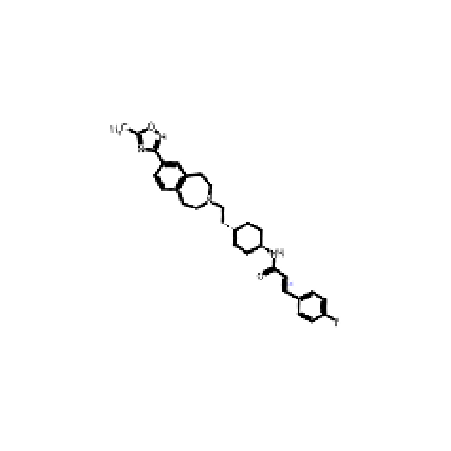 Cc1nc(-c2ccc3c(c2)CCN(CC[C@H]2CC[C@H](NC(=O)/C=C/c4ccc(F)cc4)CC2)CC3)no1